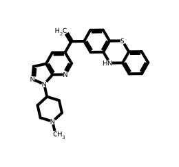 C=C(c1ccc2c(c1)Nc1ccccc1S2)c1cnc2c(cnn2C2CCN(C)CC2)c1